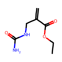 C=C(CNC(N)=O)C(=O)OCC